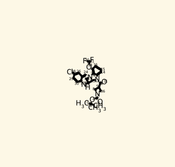 CC(C)(C)OC(=O)N1CC(C(=O)N2c3cccc(OC(F)F)c3[N@+]34C=c5cc(Cl)ccc5=N[C@H](C3)C24)C1